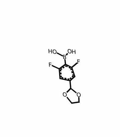 OB(O)c1c(F)cc(C2OCCO2)cc1F